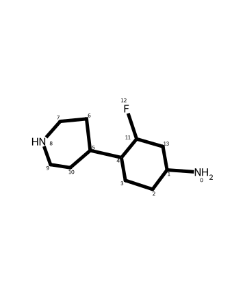 NC1CCC(C2CCNCC2)C(F)C1